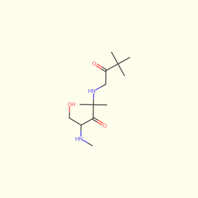 CNC(CO)C(=O)C(C)(C)NCC(=O)C(C)(C)C